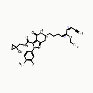 C#C/C=C\C(=C/CCC[C@H]1Cc2nn(-c3ccc(C)c(F)c3)c(C(=O)NCC3(C#N)CC3)c2C(=O)N1)OCC(F)(F)F